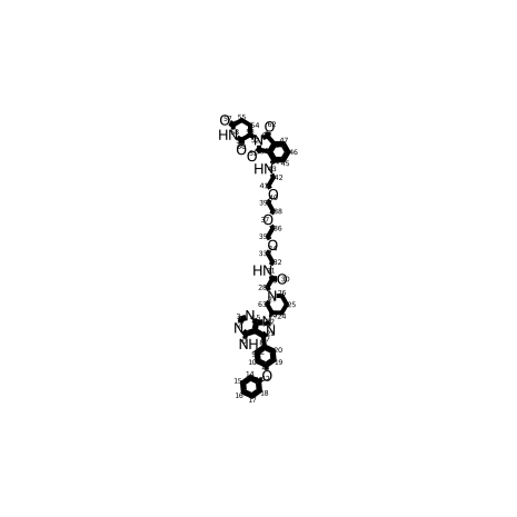 Nc1ncnc2c1c(-c1ccc(Oc3ccccc3)cc1)nn2[C@@H]1CCCN(CC(=O)NCCOCCOCCOCCNc2cccc3c2C(=O)N(C2CCC(=O)NC2=O)C3=O)C1